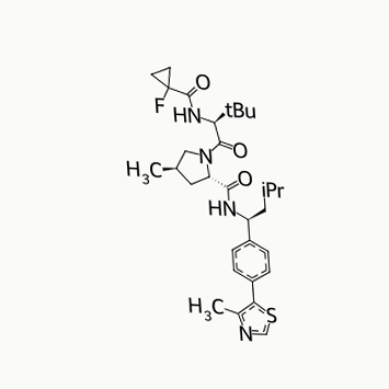 Cc1ncsc1-c1ccc([C@H](CC(C)C)NC(=O)[C@@H]2C[C@@H](C)CN2C(=O)[C@@H](NC(=O)C2(F)CC2)C(C)(C)C)cc1